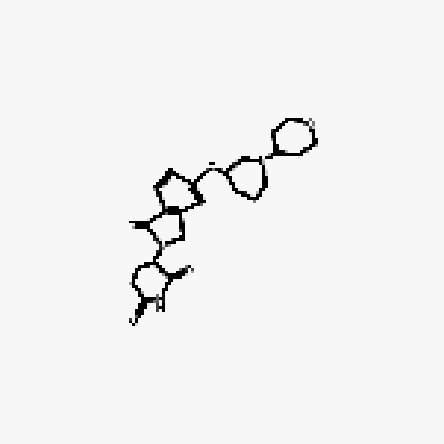 O=C1CCC(N2Cc3cc(OC4CCCN(C5CCOCC5)C4)ccc3C2=O)C(=O)N1